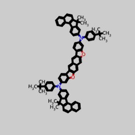 CC(C)(C)c1ccc(N(c2ccc3c(c2)C(C)(C)c2ccc4ccccc4c2-3)c2ccc3c(c2)oc2cc4cc5oc6cc(N(c7ccc(C(C)(C)C)cc7)c7ccc8c(c7)C(C)(C)c7ccc9ccccc9c7-8)ccc6c5cc4cc23)cc1